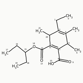 CCC1=C(C)C(C)C(C(=O)O)=C(C(=O)OC(CC)CC)C1C